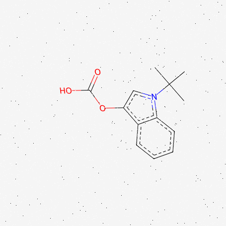 CC(C)(C)n1cc(OC(=O)O)c2ccccc21